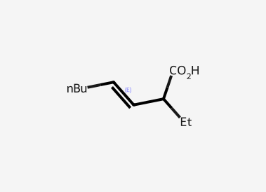 CCCC/C=C/C(CC)C(=O)O